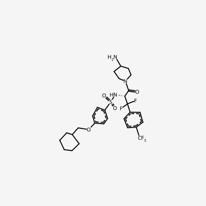 NC1CCN(C(=O)[C@@H](NS(=O)(=O)c2ccc(OCC3CCCCC3)cc2)C(F)(F)c2ccc(C(F)(F)F)cc2)CC1